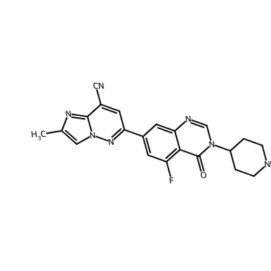 Cc1cn2nc(-c3cc(F)c4c(=O)n(C5CCNCC5)cnc4c3)cc(C#N)c2n1